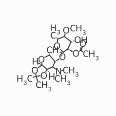 CO[C@H]1[C@H](O)[C@@H](OC(C)=O)C(O[C@H]2C(N(C)C)[C@H]3OC(C)(C)O[C@@H]3O[C@@H]2C)O[C@@H]1C